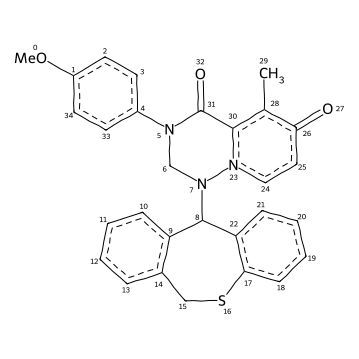 COc1ccc(N2CN(C3c4ccccc4CSc4ccccc43)n3ccc(=O)c(C)c3C2=O)cc1